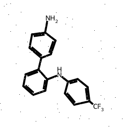 Nc1ccc(-c2ccccc2Nc2ccc(C(F)(F)F)cc2)cc1